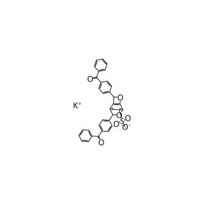 O=C(c1ccccc1)c1ccc(C2Oc3c(S(=O)(=O)[O-])cc2c2c3OC2c2ccc(C(=O)c3ccccc3)cc2)cc1.[K+]